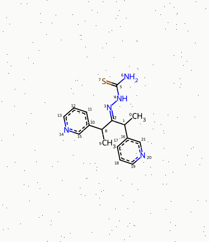 CC(C(=NNC(N)=S)C(C)c1cccnc1)c1cccnc1